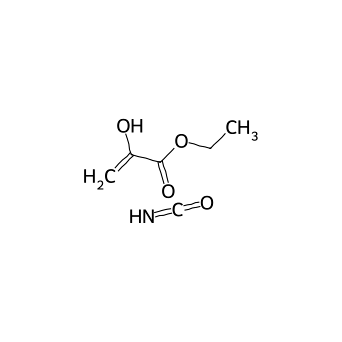 C=C(O)C(=O)OCC.N=C=O